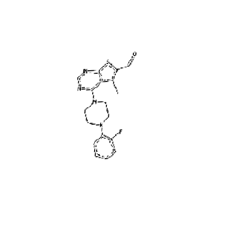 Cc1c(C=O)sc2ncnc(N3CCN(c4ccccc4F)CC3)c12